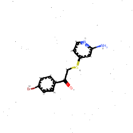 Nc1cc(SCC(=O)c2ccc(Br)cc2)ccn1